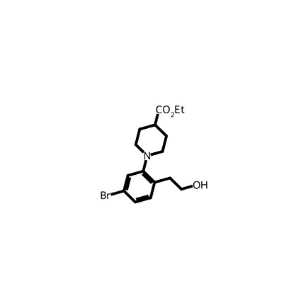 CCOC(=O)C1CCN(c2cc(Br)ccc2CCO)CC1